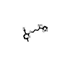 Cc1ccc(C#N)c(SCCCC(N)c2ccno2)n1